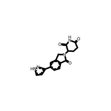 O=C1CCC(N2Cc3cc(-c4cc[nH]n4)ccc3C2=O)C(=O)N1